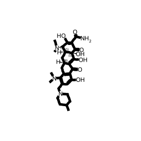 CC1CCN(Cc2cc(O)c3c(c2N(C)C)C[C@H]2C[C@H]4[C@H](N(C)C)C(O)=C(C(N)=O)C(=O)[C@@]4(O)C(O)=C2C3=O)CC1